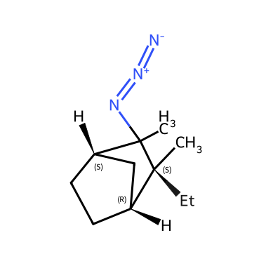 CC[C@@]1(C)[C@@H]2CC[C@@H](C2)C1(C)N=[N+]=[N-]